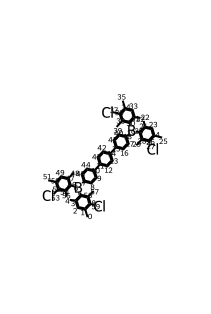 Cc1cc(C)c(B(c2ccc(-c3ccc(-c4ccc(B(c5c(C)cc(C)c(Cl)c5C)c5c(C)cc(C)c(Cl)c5C)cc4)cc3)cc2)c2c(C)cc(C)c(Cl)c2C)c(C)c1Cl